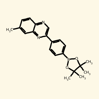 Cc1ccc2ncc(-c3ccc(B4OC(C)(C)C(C)(C)O4)cc3)nc2c1